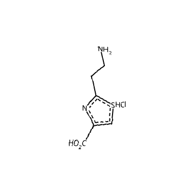 Cl.NCCc1nc(C(=O)O)cs1